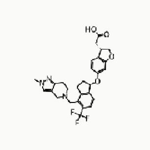 Cn1cc2c(n1)CCN(Cc1c(C(F)(F)F)ccc3c1CC[C@H]3Oc1ccc3c(c1)OC[C@H]3CC(=O)O)C2